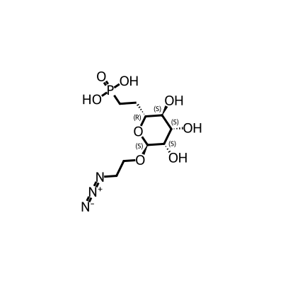 [N-]=[N+]=NCCO[C@H]1O[C@H](CCP(=O)(O)O)[C@@H](O)[C@H](O)[C@@H]1O